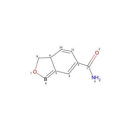 NC(=O)C1=CC2=BOCC2C=C1